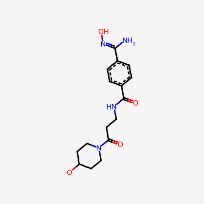 NC(=NO)c1ccc(C(=O)NCCC(=O)N2CCC([O])CC2)cc1